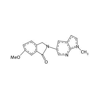 COc1ccc2c(c1)C(=O)N(c1cnc3c(ccn3C)c1)C2